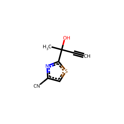 [C-]#[N+]c1csc(C(C)(O)C#C)n1